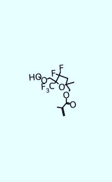 C=C(C)C(=O)OCC1(C)CC(F)(F)C(COO)(C(F)(F)F)O1